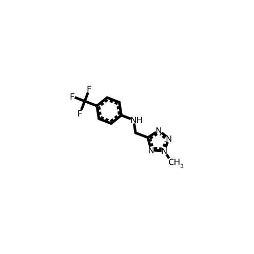 Cn1nnc(CNc2ccc(C(F)(F)F)cc2)n1